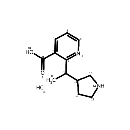 CC(c1ncccc1C(=O)O)C1CCNC1.Cl